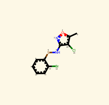 Cc1onc(NSc2ccccc2Br)c1Cl